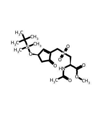 COC(=O)[C@H](CS(=O)(=O)CC1=C[C@H](O[Si](C)(C)C(C)(C)C)CC1=O)NC(C)=O